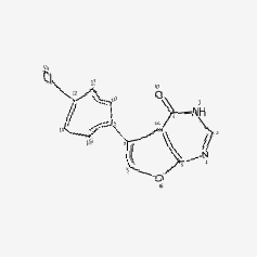 O=c1[nH]cnc2occ(-c3ccc(Cl)cc3)c12